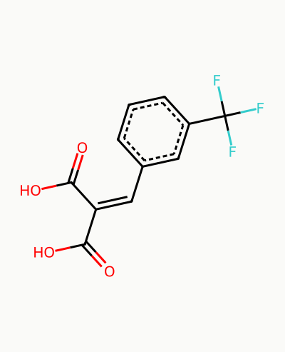 O=C(O)C(=Cc1cccc(C(F)(F)F)c1)C(=O)O